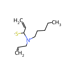 C=CCN(CCCCC)C([S])C=C